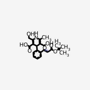 CC1=C(C(=O)O)C(c2ccccc2/C=C/C(=O)OC(C)(C)C)C(C(=O)O)=C(CO)N1